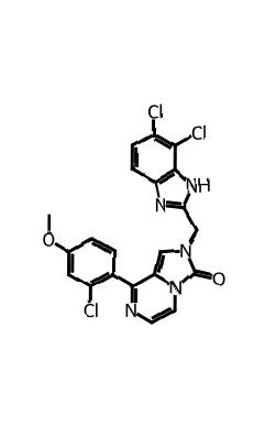 COc1ccc(-c2nccn3c(=O)n(Cc4nc5ccc(Cl)c(Cl)c5[nH]4)cc23)c(Cl)c1